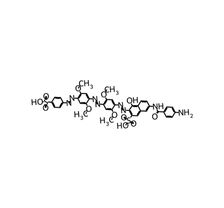 COc1cc(N=Nc2cc(OC)c(N=Nc3c(S(=O)(=O)O)cc4cc(NC(=O)c5ccc(N)cc5)ccc4c3O)cc2OC)c(OC)cc1N=Nc1ccc(S(=O)(=O)O)cc1